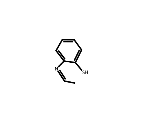 C/C=N\c1ccccc1S